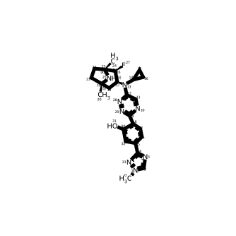 Cn1cnc(-c2ccc(-c3ncc(N(C4CC4)[C@H]4C[C@]5(C)CC[C@@](C)(N5)[C@H]4F)nn3)c(O)c2)n1